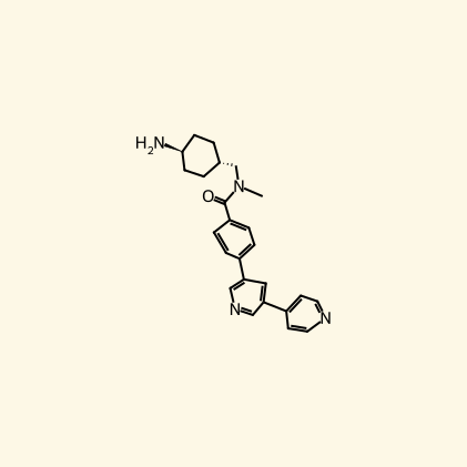 CN(C[C@H]1CC[C@H](N)CC1)C(=O)c1ccc(-c2cncc(-c3ccncc3)c2)cc1